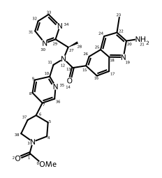 COC(=O)N1CCC(c2ccc(CN(C(=O)c3ccc4nc(N)c(C)cc4c3)[C@H](C)c3ncccn3)nc2)CC1